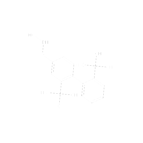 CC(C)(C)c1ccccc1-c1ccc(OBO)cc1C(C)(C)C